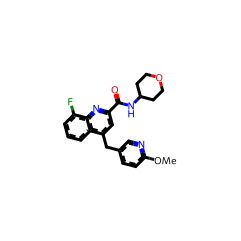 COc1ccc(Cc2cc(C(=O)NC3CCOCC3)nc3c(F)cccc23)cn1